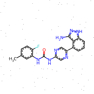 Cc1ccc(F)c(NC(=O)Nc2cnc(-c3cccc4[nH]nc(N)c34)cn2)c1